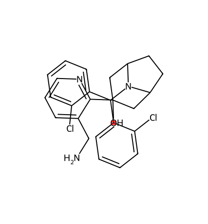 NCc1cccnc1C1(O)CC2CCC(C1)N2C(c1ccccc1Cl)c1ccccc1Cl